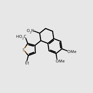 CCc1cc(C2c3cc(OC)c(OC)cc3CCC2[N+](=O)[O-])c(C(=O)O)s1